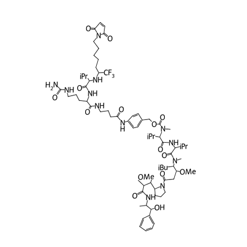 CCC(C)C(C(CC(=O)N1CCCC1C(OC)C(C)C(=O)NC(C)C(O)c1ccccc1)OC)N(C)C(=O)C(NC(=O)C(C(C)C)N(C)C(=O)OCc1ccc(NC(=O)CCCNC(=O)C(CCCNC(N)=O)NC(=O)C(NC(CCCCCN2C(=O)C=CC2=O)C(F)(F)F)C(C)C)cc1)C(C)C